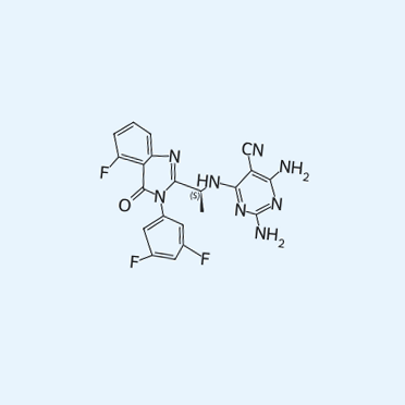 C[C@H](Nc1nc(N)nc(N)c1C#N)c1nc2cccc(F)c2c(=O)n1-c1cc(F)cc(F)c1